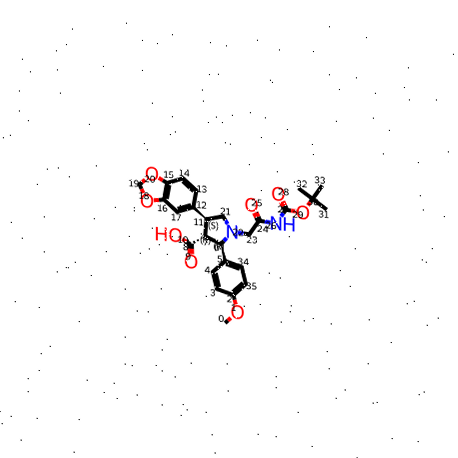 COc1ccc([C@H]2[C@H](C(=O)O)[C@@H](c3ccc4c(c3)OCO4)CN2CC(=O)NC(=O)OC(C)(C)C)cc1